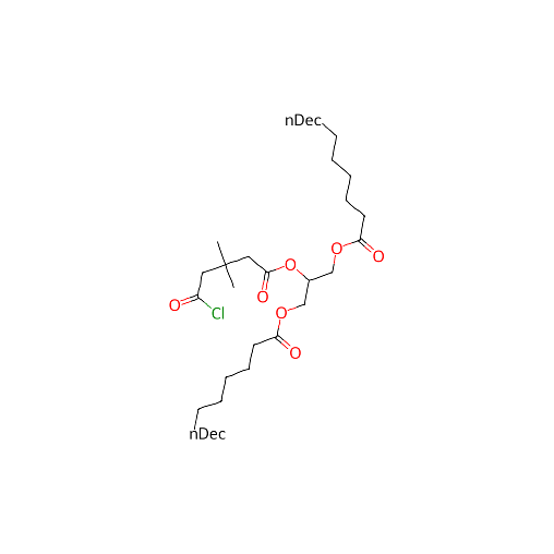 CCCCCCCCCCCCCCCC(=O)OCC(COC(=O)CCCCCCCCCCCCCCC)OC(=O)CC(C)(C)CC(=O)Cl